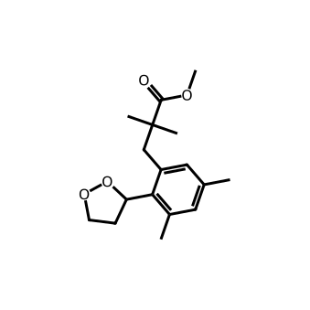 COC(=O)C(C)(C)Cc1cc(C)cc(C)c1C1CCOO1